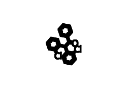 O=C(c1ccccc1)C(c1ccccc1Cl)c1ccccc1Cl